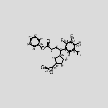 O=C(C[CH]C(c1c(F)c(F)c(F)c(F)c1F)C1C[CH]C(C2OC2=O)C1)Oc1ccccc1